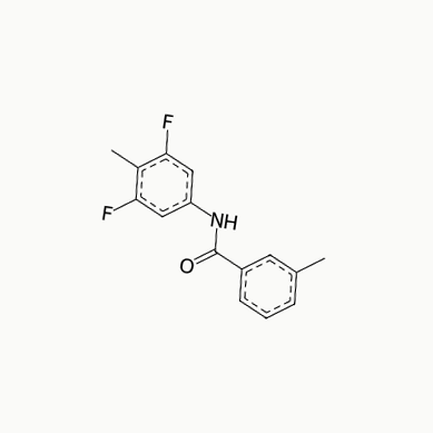 Cc1cccc(C(=O)Nc2cc(F)c(C)c(F)c2)c1